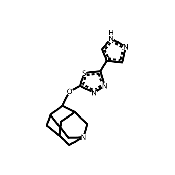 c1n[nH]cc1-c1nnc(OC2C3CC4CC2CN(C4)C3)s1